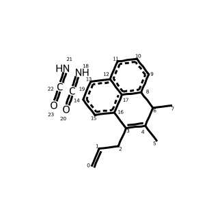 C=CCC1=C(C)C(C)c2cccc3cccc1c23.N=C=O.N=C=O